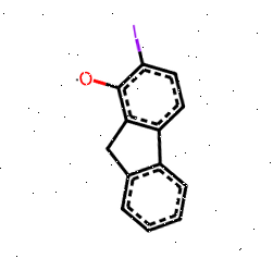 [O]c1c(I)ccc2c1Cc1ccccc1-2